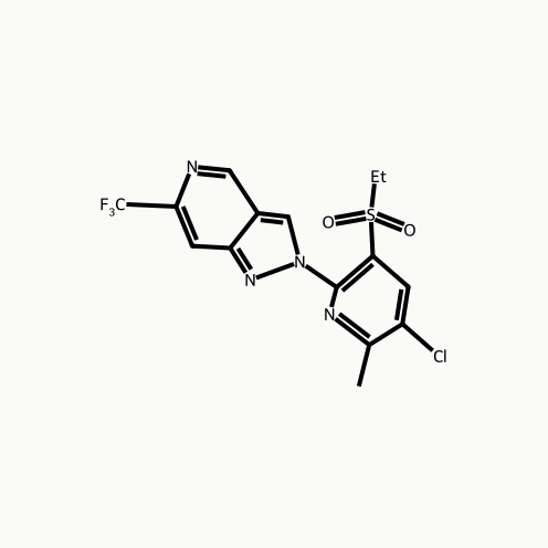 CCS(=O)(=O)c1cc(Cl)c(C)nc1-n1cc2cnc(C(F)(F)F)cc2n1